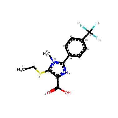 CCSc1c(C(=O)O)nc(-c2ccc(C(F)(F)F)cc2)n1C